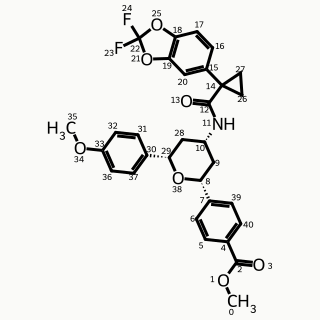 COC(=O)c1ccc([C@H]2C[C@@H](NC(=O)C3(c4ccc5c(c4)OC(F)(F)O5)CC3)C[C@@H](c3ccc(OC)cc3)O2)cc1